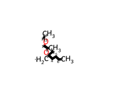 [CH2]C(CC)(CCCC)OCCOCC